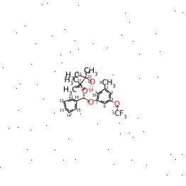 Cc1cc(OC(F)(F)F)cc(OCc2ccccc2)c1B1OC(C)(C)C(C)(C)O1